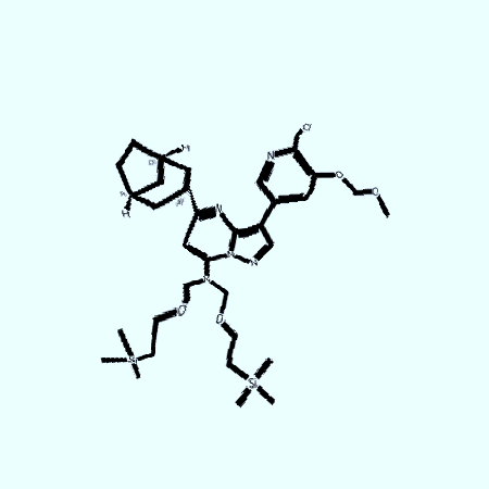 COCOc1cc(-c2cnn3c(N(COCC[Si](C)(C)C)COCC[Si](C)(C)C)cc([C@H]4C[C@@H]5CC[C@@H](C5)C4)nc23)cnc1Cl